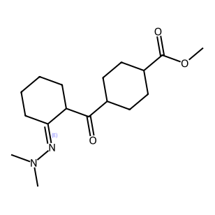 COC(=O)C1CCC(C(=O)C2CCCC/C2=N\N(C)C)CC1